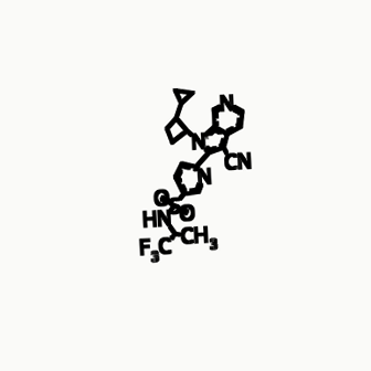 C[C@H](NS(=O)(=O)c1ccc(-c2c(C#N)c3ccncc3n2C2CCC2C2CC2)nc1)C(F)(F)F